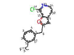 FC(F)(F)c1cccc(Cc2cc3ccnc(Cl)c3o2)c1